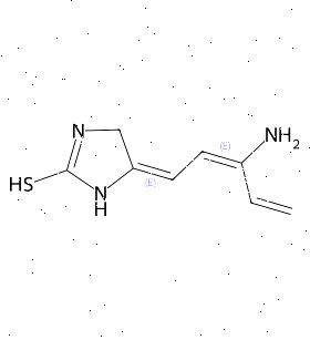 C=C/C(N)=C\C=C1/CN=C(S)N1